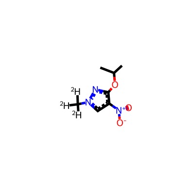 [2H]C([2H])([2H])n1cc([N+](=O)[O-])c(OC(C)C)n1